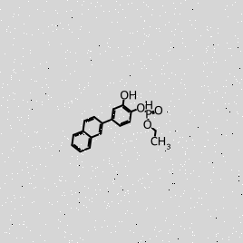 CCO[PH](=O)Oc1ccc(-c2ccc3ccccc3c2)cc1O